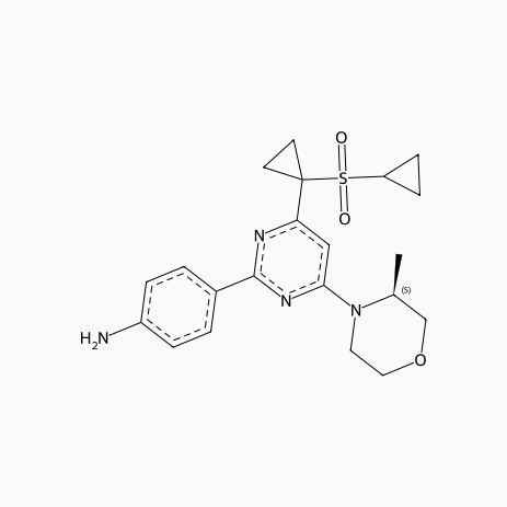 C[C@H]1COCCN1c1cc(C2(S(=O)(=O)C3CC3)CC2)nc(-c2ccc(N)cc2)n1